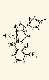 C[C@H]1c2ncn(-c3ccc(F)cn3)c2CCN1C(=O)c1cccc(C(F)(F)F)c1Cl